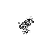 CC(C)(C)C(Cl)(Br)OP(=O)(OC(Cl)(Br)C(C)(C)C)OC(Cl)(Br)C(C)(C)C